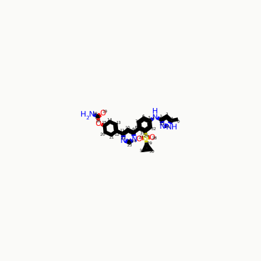 Cc1cc(Nc2ccc(-c3cc(C4=CCC(OC(N)=O)CC4)ncn3)c(S(=O)(=O)C3CC3)c2)n[nH]1